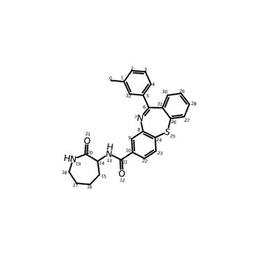 Cc1cccc(C2=Nc3cc(C(=O)NC4CCCCNC4=O)ccc3Sc3ccccc32)c1